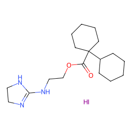 I.O=C(OCCNC1=NCCN1)C1(C2CCCCC2)CCCCC1